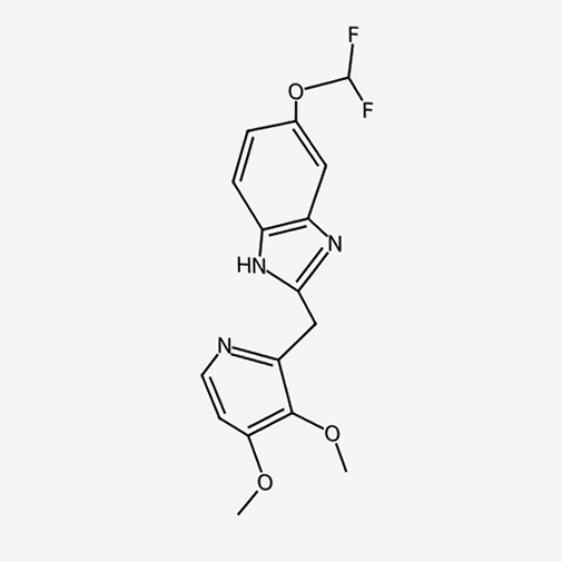 COc1ccnc(Cc2nc3cc(OC(F)F)ccc3[nH]2)c1OC